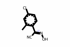 Cc1cc(Cl)ccc1/C(C#N)=N/O